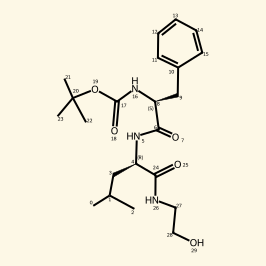 CC(C)C[C@@H](NC(=O)[C@H](Cc1ccccc1)NC(=O)OC(C)(C)C)C(=O)NCCO